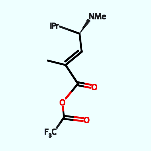 CN[C@H](/C=C(\C)C(=O)OC(=O)C(F)(F)F)C(C)C